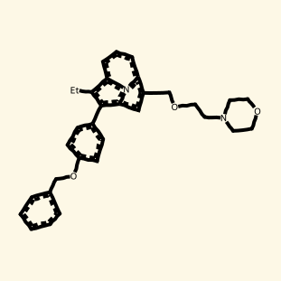 CCc1c(-c2ccc(OCc3ccccc3)cc2)c2cc(COCCN3CCOCC3)c3cccc1n32